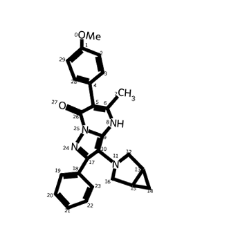 COc1ccc(-c2c(C)[nH]c3c(N4CC5CC5C4)c(-c4ccccc4)nn3c2=O)cc1